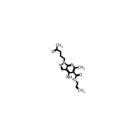 C=CCOC(=O)c1c(C)nc2c(cnn2CCCC(C)=O)c1N